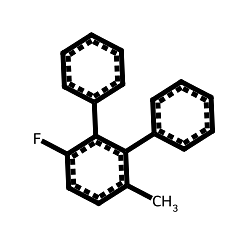 Cc1ccc(F)c(-c2ccccc2)c1-c1ccccc1